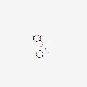 CO[C@H]1c2c(cc(F)c(Cl)c2Br)O[C@]1(CNC(=O)O)c1ccccc1